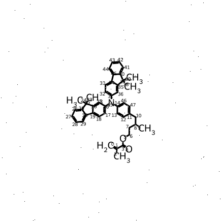 C=C(C)C(=O)OCCC(C)Cc1ccc(N(c2ccc3c(c2)C(C)(C)c2ccccc2-3)c2ccc3c(c2)C(C)(C)c2ccccc2-3)cc1